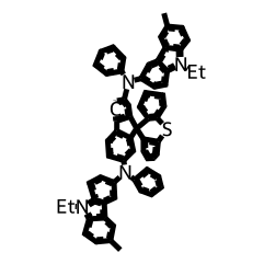 CCn1c2ccc(C)cc2c2cc(N(c3ccccc3)c3ccc4c(c3)C3(c5ccccc5Sc5ccccc53)c3cc(N(c5ccccc5)c5ccc6c(c5)c5cc(C)ccc5n6CC)ccc3-4)ccc21